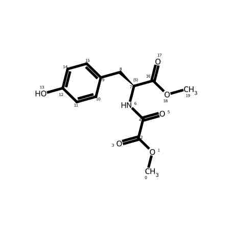 COC(=O)C(=O)N[C@@H](Cc1ccc(O)cc1)C(=O)OC